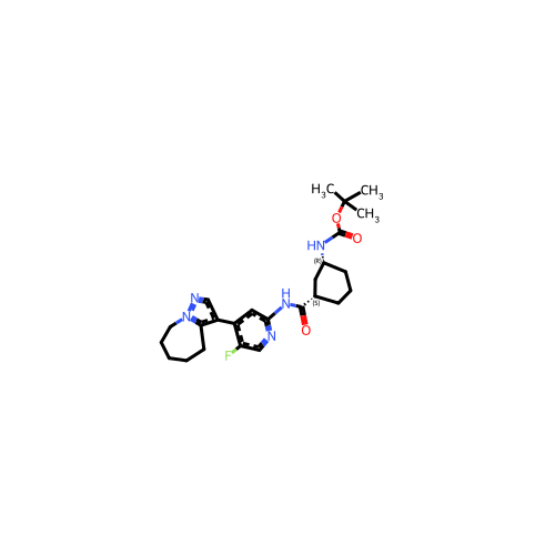 CC(C)(C)OC(=O)N[C@@H]1CCC[C@H](C(=O)Nc2cc(-c3cnn4c3CCCCC4)c(F)cn2)C1